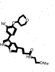 COCCNC(=O)/C=C/c1cnc2[nH]cc(-c3ccc(OC4CCOCC4)c(C#N)c3)c2c1